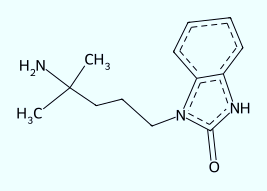 CC(C)(N)CCCn1c(=O)[nH]c2ccccc21